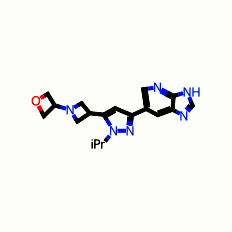 CC(C)n1nc(-c2cnc3[nH]cnc3c2)cc1C1CN(C2COC2)C1